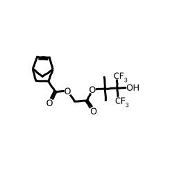 CC(C)(OC(=O)COC(=O)C1CC2C=CC1C2)C(O)(C(F)(F)F)C(F)(F)F